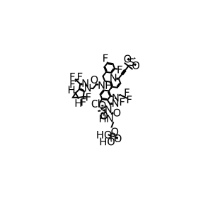 CC(C)(C#Cc1ccc(-c2ccc(Cl)c3c(N(C(=O)NCCOP(=O)(O)O)S(C)(=O)=O)nn(CC(F)(F)F)c23)c(C(Cc2cc(F)cc(F)c2)NC(=O)Cn2nc(C(F)(F)F)c3c2C(F)(F)[C@@H]2C[C@H]32)n1)S(C)(=O)=O